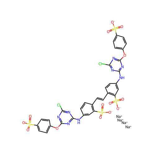 O=S(=O)([O-])c1ccc(Oc2nc(Cl)nc(Nc3ccc(C=Cc4ccc(Nc5nc(Cl)nc(Oc6ccc(S(=O)(=O)[O-])cc6)n5)cc4S(=O)(=O)[O-])c(S(=O)(=O)[O-])c3)n2)cc1.[Na+].[Na+].[Na+].[Na+]